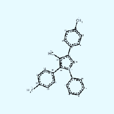 Cc1ccc(-c2nn(-c3ccccc3)c(-c3ccc(C)cc3)c2O)cc1